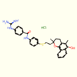 Cc1c2c(c3ccccc3c1O)OC(C)(CCSc1ccc(NC(=O)c3ccc(NC(=N)N)cc3)cc1)CC2.Cl